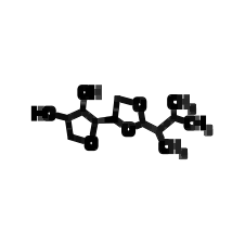 CC(C)C(C)C1OCC([C@H]2OCC(O)C2O)O1